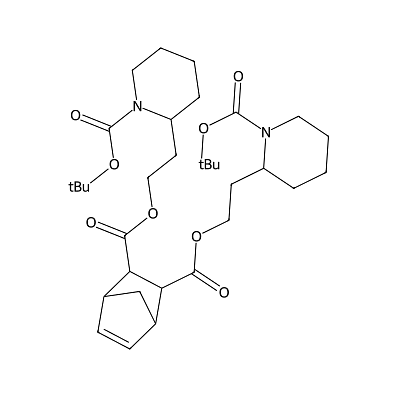 CC(C)(C)OC(=O)N1CCCCC1CCOC(=O)C1C2C=CC(C2)C1C(=O)OCCC1CCCCN1C(=O)OC(C)(C)C